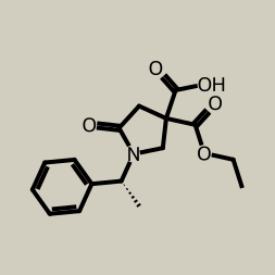 CCOC(=O)C1(C(=O)O)CC(=O)N([C@H](C)c2ccccc2)C1